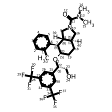 Cc1ccccc1[C@H]1[C@@H]2CN(C(=O)N(C)C)C[C@H]2CC[C@@H]1O[C@H](CO)c1cc(C(F)(F)F)cc(C(F)(F)F)c1